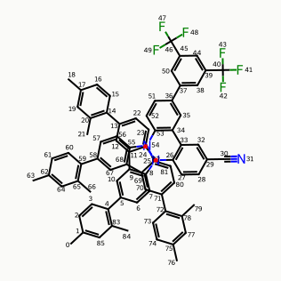 Cc1ccc(-c2ccc3c(c2)c2cc(-c4ccc(C)cc4C)ccc2n3-c2ccc(C#N)cc2-c2cc(-c3cc(C(F)(F)F)cc(C(F)(F)F)c3)ccc2-n2c3ccc(-c4ccc(C)cc4C)cc3c3cc(-c4ccc(C)cc4C)ccc32)c(C)c1